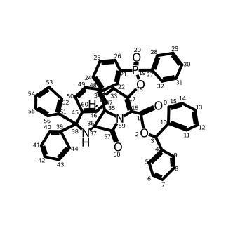 O=C(OC(c1ccccc1)c1ccccc1)C1=C(OP(=O)(c2ccccc2)c2ccccc2)CS[C@@H]2[C@H](NC(c3ccccc3)(c3ccccc3)c3ccccc3)C(=O)N12